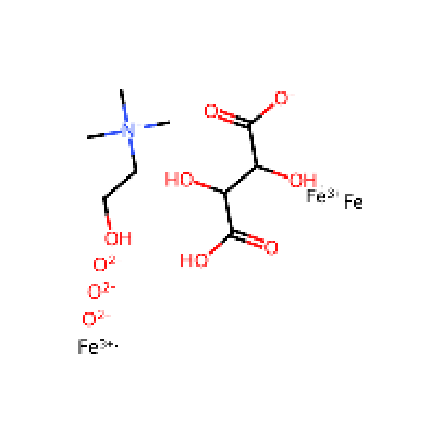 C[N+](C)(C)CCO.O=C([O-])C(O)C(O)C(=O)O.[Fe+3].[Fe+3].[Fe].[O-2].[O-2].[O-2]